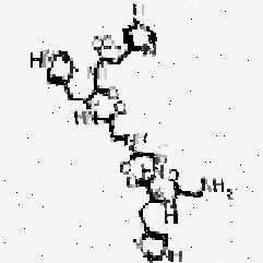 C[C@H](NC(=O)[C@H](Cc1c[nH]cn1)NC(=O)CN)C(=O)NCC(=O)N[C@@H](Cc1c[nH]cn1)C(=O)N[C@@H](Cc1c[nH]cn1)C(=O)O